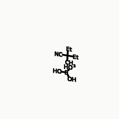 CCC(C)(C#N)CC.OB(O)O